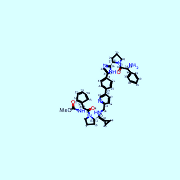 COC(=O)N[C@@H](C(=O)N1CCC[C@H]1C(NCc1ccc(-c2ccc(-c3cnc([C@@H]4CCCN4C(=O)[C@H](N)c4ccccc4)[nH]3)cc2)cn1)=C1CC1)c1ccccc1